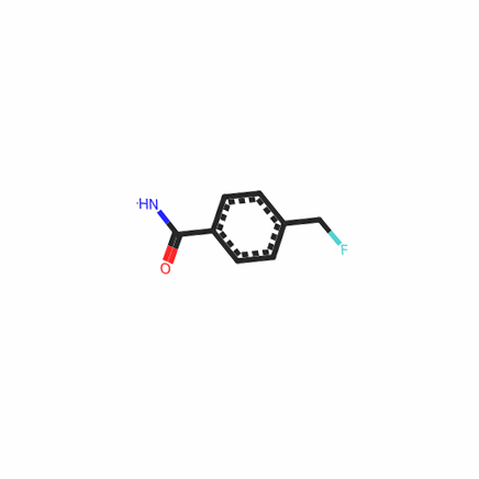 [NH]C(=O)c1ccc(CF)cc1